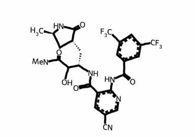 CNC(=O)C(O)[C@H](C[C@@H]1C[C@@H](C)NC1=O)NC(=O)c1cc(C#N)cnc1NC(=O)c1cc(C(F)(F)F)cc(C(F)(F)F)c1